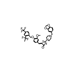 COc1cc(C=C2SC(N3CCN(Cc4ccc5c(c4)OCO5)CC3)=NC2=O)ccc1OCc1ccc(C(F)(F)F)cc1C(F)(F)F